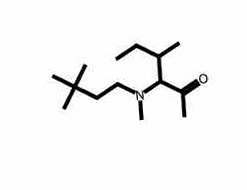 CCC(C)C(C(C)=O)N(C)CCC(C)(C)C